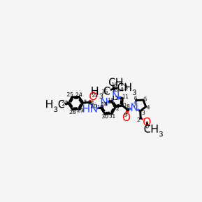 COCC1CCCN1C(=O)c1cn(C(C)(C)C)c2nc(NC(=O)c3ccc(C)cc3)ccc12